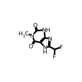 Cn1c(=O)[nH]c2nc(C(F)F)[nH]c2c1=O